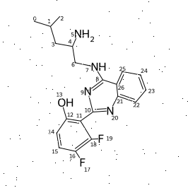 CC(C)CC(N)CNc1nc(-c2c(O)ccc(F)c2F)nc2ccccc12